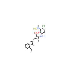 C=C1C(NC2=CCC(Cl)C(N(C)S)=C2O)=C(C)/C1=C\C(C)(C)C(C)c1ccccc1CC